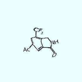 CC(=O)c1cc2c(c(C(F)(F)F)c1)CNC2=O